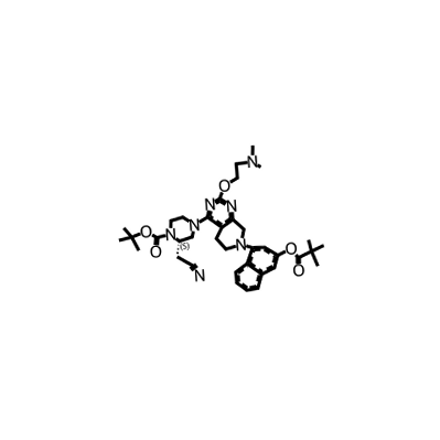 CN(C)CCOc1nc2c(c(N3CCN(C(=O)OC(C)(C)C)[C@@H](CC#N)C3)n1)CCN(c1cc(OC(=O)C(C)(C)C)cc3ccccc13)C2